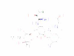 CN[C@@H]1C(O)[C@@H](OC2C(O)C(O[C@H]3O[C@H](CNCCO)CCC3N)[C@@H](N)C[C@H]2NC(=N)C(O)C(F)F)OCC1(C)O